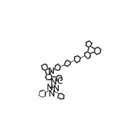 C1=CC(c2nc(-c3ccccc3)nc(-n3c4ccccc4c4c3ccc3c5ccccc5n(-c5ccc(-c6ccc(-c7ccc(-c8ccc9c%10ccccc%10c%10ccccc%10c9c8)cc7)cc6)cc5)c34)n2)=CCC1